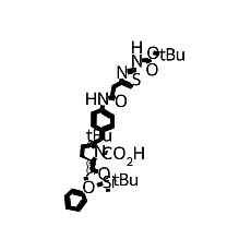 CC(C)(C)OC(=O)Nc1nc(CC(=O)Nc2ccc(C[C@]3(C(C)(C)C)CC[C@H]([C@@H](COc4ccccc4)O[Si](C)(C)C(C)(C)C)N3C(=O)O)cc2)cs1